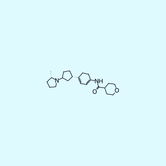 C[C@H]1CCCN1C1CC[C@H](C2=CC=C(NC(=O)C3CCOCC3)CC2)C1